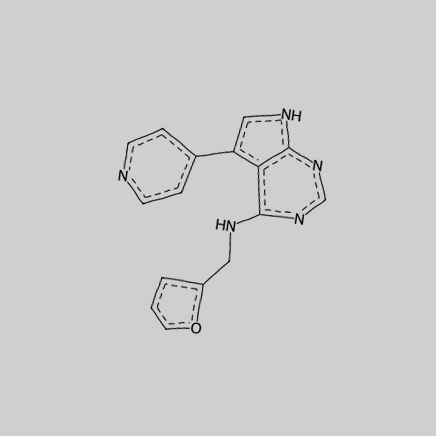 c1coc(CNc2ncnc3[nH]cc(-c4ccncc4)c23)c1